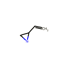 C=CC1C[N]1